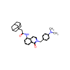 CN(C)c1ccc(Cn2ccc3c(NC(=O)CC45CC6CC(CC(C6)C4)C5)cccc3c2=O)cc1